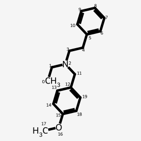 CCN(CCc1ccccc1)Cc1ccc(OC)cc1